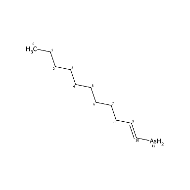 CCCCCCCCCC=C[AsH2]